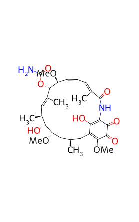 COC1=C2C[C@@H](C)C[C@H](OC)[C@H](O)[C@@H](C)/C=C(\C)[C@H](OC(N)=O)[C@@H](OC)/C=C\C=C(/C)C(=O)NC(=C2O)C(=O)C1=O